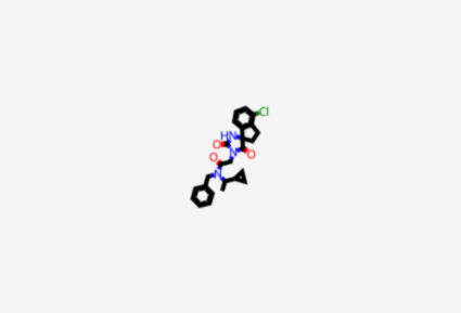 CC(C1CC1)N(Cc1ccccc1)C(=O)CN1C(=O)NC2(CCc3c(Cl)cccc32)C1=O